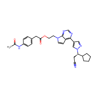 CC(=O)Nc1ccc(CC(=O)OCCn2ccc3c(-c4cnn([C@H](CC#N)C5CCCC5)c4)ncnc32)cc1